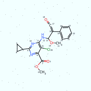 COC(=O)c1nc(C2CC2)nc(NC(OC)C(=C=O)c2ccccc2)c1Cl